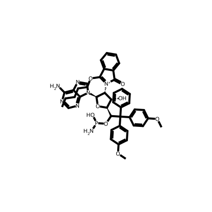 CCCCCOC1=[N+]([C@@H]2[C@H](O)[C@@H](C(OP(N)O)C(c3ccccc3)(c3ccc(OC)cc3)c3ccc(OC)cc3)O[C@H]2n2cnc3c(N)ncnc32)C(=O)c2ccccc21